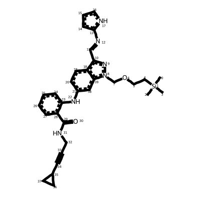 C[Si](C)(C)CCOCn1nc(C=Nc2ccc[nH]2)c2ccc(Nc3ccccc3C(=O)NCC#CC3CC3)cc21